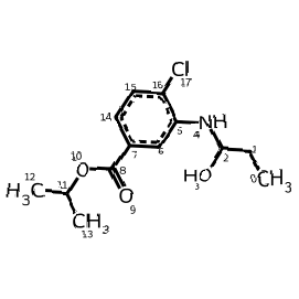 CCC(O)Nc1cc(C(=O)OC(C)C)ccc1Cl